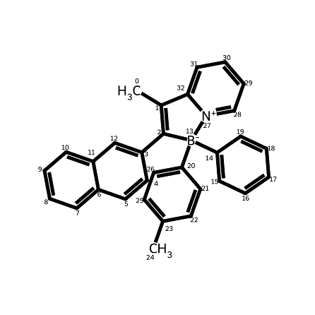 CC1=C(c2ccc3ccccc3c2)[B-](c2ccccc2)(c2ccc(C)cc2)[n+]2ccccc21